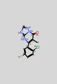 Cc1c(-c2cc(F)ccc2Cl)[nH]c2ncnn2c1=O